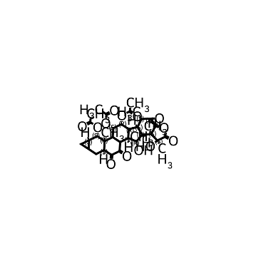 CC(=O)O[C@H]1C2C(C(=O)C(=O)[C@H]3CC4C[C@@H]4[C@H](OC(C)=O)[C@]23C)[C@@H]2[C@@H](O)[C@@H]3[C@H]([C@H](C)[C@H]4O[C@]45OC(=O)[C@@](C)(O)[C@]35C)[C@@]2(C)[C@H]1OC(C)=O